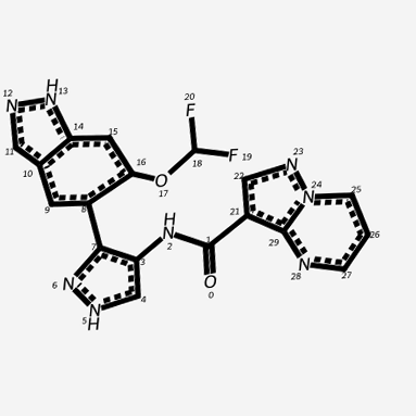 O=C(Nc1c[nH]nc1-c1cc2cn[nH]c2cc1OC(F)F)c1cnn2cccnc12